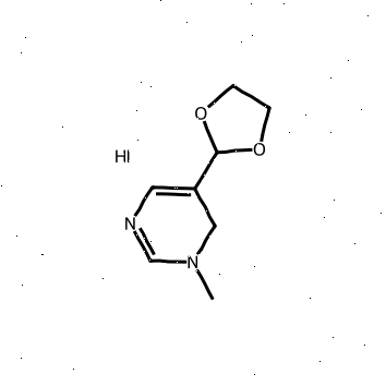 CN1C=NC=C(C2OCCO2)C1.I